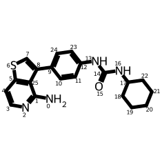 Nc1nccc2scc(-c3ccc(NC(=O)NC4CCCCC4)cc3)c12